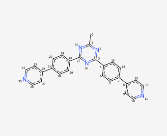 Cc1nc(-c2ccc(-c3ccncc3)cc2)nc(-c2ccc(-c3ccncc3)cc2)n1